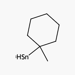 C[C]1([SnH])CCCCC1